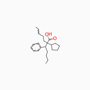 CC=CCCC(C(=O)O)(C1CCCC1)C(CCCC)c1ccccc1